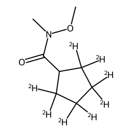 [2H]C1([2H])C(C(=O)N(C)OC)C([2H])([2H])C([2H])([2H])C1([2H])[2H]